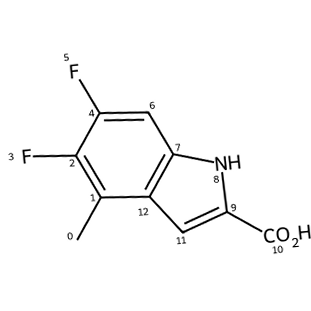 Cc1c(F)c(F)cc2[nH]c(C(=O)O)cc12